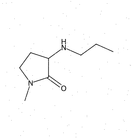 CCCNC1CCN(C)C1=O